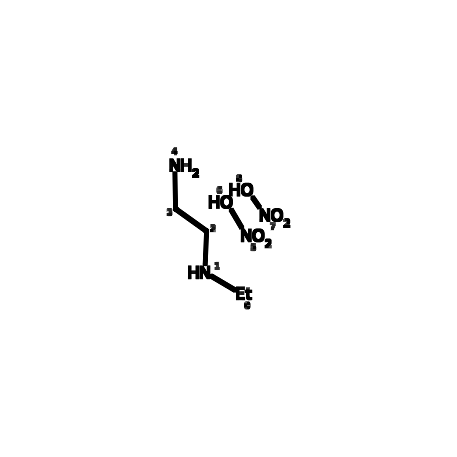 CCNCCN.O=[N+]([O-])O.O=[N+]([O-])O